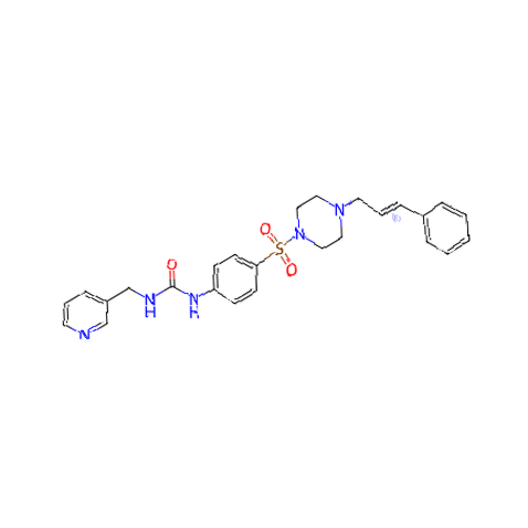 O=C(NCc1cccnc1)Nc1ccc(S(=O)(=O)N2CCN(C/C=C/c3ccccc3)CC2)cc1